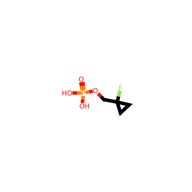 O=P(O)(O)OCC1(F)[CH]C1